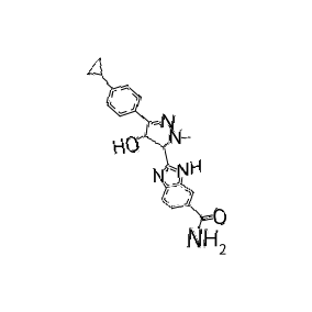 CN1N=C(c2ccc(C3CC3)cc2)C(O)C1c1nc2ccc(C(N)=O)cc2[nH]1